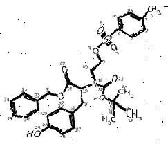 Cc1ccc(S(=O)(=O)OCCN(C(=O)OC(C)(C)C)[C@@H](Cc2ccc(O)cc2)C(=O)OCc2ccccc2)cc1